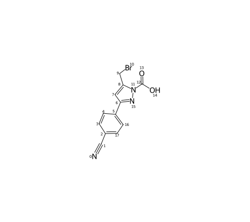 N#Cc1ccc(-c2cc(CBr)n(C(=O)O)n2)cc1